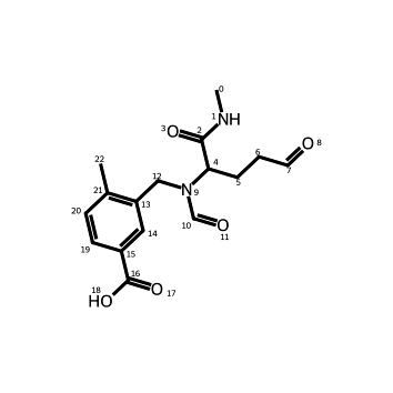 CNC(=O)C(CCC=O)N(C=O)Cc1cc(C(=O)O)ccc1C